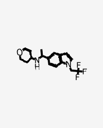 CC(NC1CCOCC1)c1ccc2c(ccn2CC(F)(F)F)c1